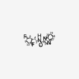 O=C(NCCc1cc(F)ccc1F)c1cnc2ccccc2n1